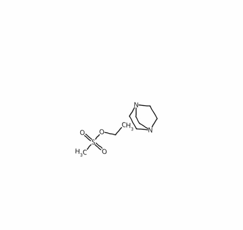 C1CN2CCN1CC2.CCOS(C)(=O)=O